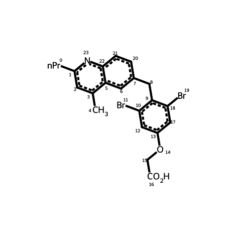 CCCc1cc(C)c2cc(Cc3c(Br)cc(OCC(=O)O)cc3Br)ccc2n1